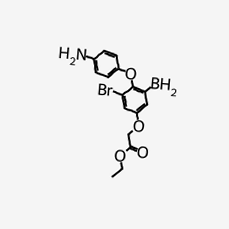 Bc1cc(OCC(=O)OCC)cc(Br)c1Oc1ccc(N)cc1